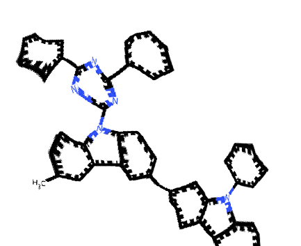 Cc1ccc2c(c1)c1cc(-c3ccc4c5ccccc5n(-c5ccccc5)c4c3)ccc1n2-c1nc(-c2ccccc2)nc(-c2ccccc2)n1